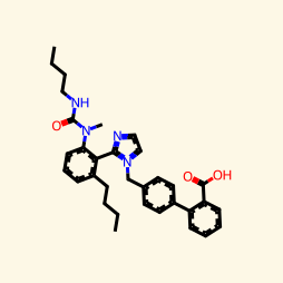 CCCCNC(=O)N(C)c1cccc(CCCC)c1-c1nccn1Cc1ccc(-c2ccccc2C(=O)O)cc1